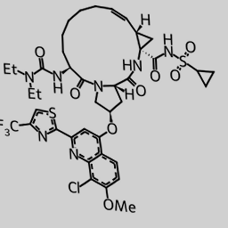 CCN(CC)C(=O)N[C@H]1CCCCC/C=C\[C@@H]2C[C@@]2(C(=O)NS(=O)(=O)C2CC2)NC(=O)[C@@H]2C[C@@H](Oc3cc(-c4nc(C(F)(F)F)cs4)nc4c(Cl)c(OC)ccc34)CN2C1=O